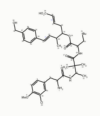 COc1ccc(CC(N)C(=O)NC(C)C(C)(C)C(=O)NC(CC(C)(C)C)C(=O)OC(C/C=C/C(=O)O)C(C)/C=C/c2ccc(CO)cc2)cc1Cl